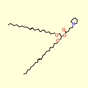 CCCCCCCCC=CCCCCCCCCOCC(COCCCCCCCCC=CCCCCCCCC)OC(=O)CCCN1CCCCC1